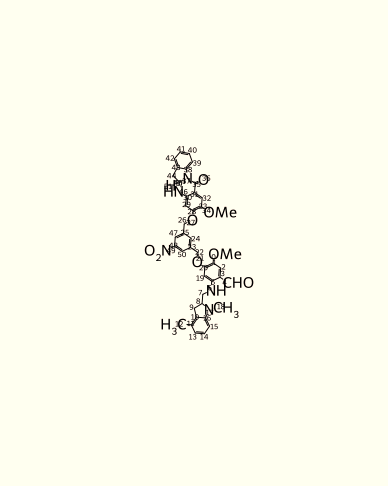 COc1cc(C=O)c(NCC2Cc3c(C)cccc3N2C)cc1OCc1cc(COc2cc3c(cc2OC)C(=O)N2c4ccccc4C[C@H]2N3)cc([N+](=O)[O-])c1